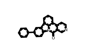 O=c1c2cnccc2c2cccc3c4cc(-c5ccccc5)ccc4n1c23